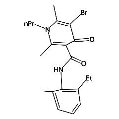 CCCn1c(C)c(Br)c(=O)c(C(=O)Nc2c(C)cccc2CC)c1C